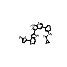 O=C(Nc1cncc(-c2cnc3[nH]nc(-c4cc5c(-c6ccc(F)s6)nccc5[nH]4)c3c2)c1)C1CC1